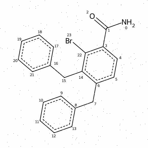 NC(=O)c1ccc(Cc2ccccc2)c(Cc2ccccc2)c1Br